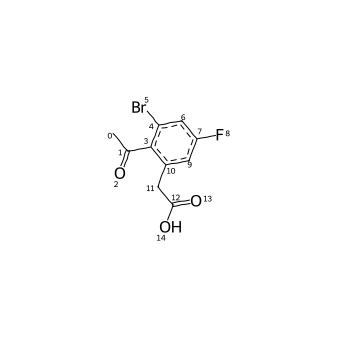 CC(=O)c1c(Br)cc(F)cc1CC(=O)O